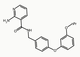 CCCOc1cccc(Oc2ccc(CNC(=O)c3cccnc3N)cc2)c1